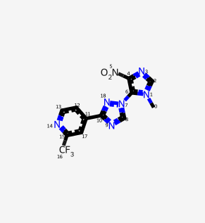 Cn1cnc([N+](=O)[O-])c1-n1cnc(-c2ccnc(C(F)(F)F)c2)n1